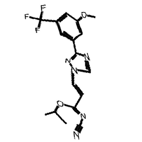 COc1cc(-c2ncn(/C=C/C(=N/C#N)OC(C)C)n2)cc(C(F)(F)F)c1